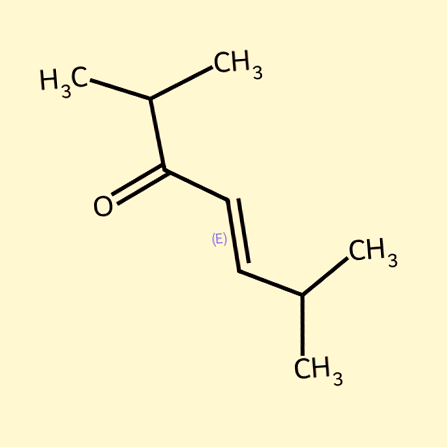 CC(C)/C=C/C(=O)C(C)C